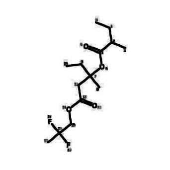 CCC(C)C(=O)OC(C)(CC)CC(=O)OCC(C)(F)F